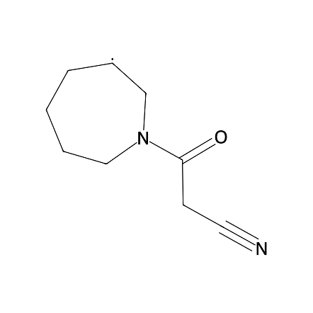 N#CCC(=O)N1C[CH]CCCC1